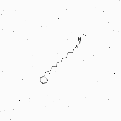 N#CSCCCCCCCCCCCc1ccccc1